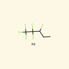 CCC(F)C(F)(F)C(F)(F)F.[Pd]